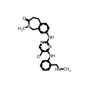 CNCc1ccccc1Nc1nc(Nc2ccc3c(c2)CN(C)C(=O)CC3)ncc1Cl